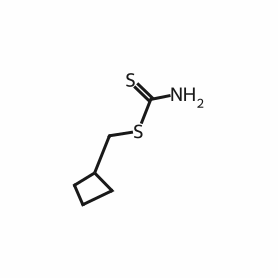 NC(=S)SCC1CCC1